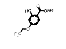 COC(=O)c1ccc(OCC(F)(F)F)cc1O